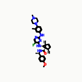 COc1ccc([C@@H](C)NC(=O)[C@]23[C@H]4C=C[C@H]2[C@]43Nc2nc(Nc3ccc(N4CCN(C)CC4)c(C)c3)ncc2F)cc1